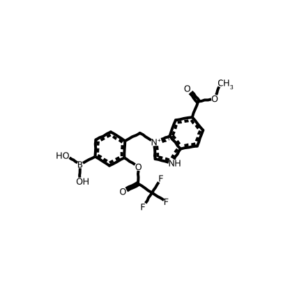 COC(=O)c1ccc2[nH]c[n+](Cc3ccc(B(O)O)cc3OC(=O)C(F)(F)F)c2c1